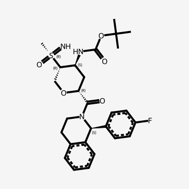 CC(C)(C)OC(=O)N[C@H]1C[C@H](C(=O)N2CCc3ccccc3[C@@H]2c2ccc(F)cc2)OC[C@@H]1[S@](C)(=N)=O